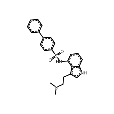 CN(C)CCc1c[nH]c2cccc(NS(=O)(=O)c3ccc(-c4ccccc4)cc3)c12